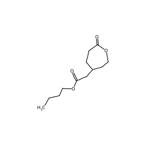 CCCCOC(=O)CC1CCOC(=O)CC1